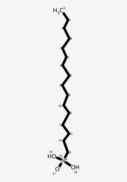 CCCCCCCCCCCCCCCC[N+]([O-])(O)O